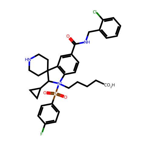 O=C(O)CCCC[N+]1(S(=O)(=O)c2ccc(F)cc2)c2ccc(C(=O)NCc3ccccc3Cl)cc2C2(CCNCC2)C1C1CC1